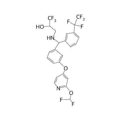 OC(CNC(c1cccc(Oc2ccnc(OC(F)F)c2)c1)c1cccc(C(F)(F)C(F)(F)F)c1)C(F)(F)F